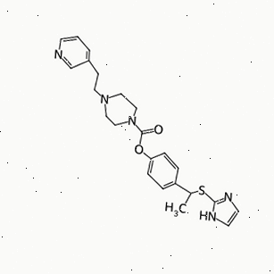 CC(Sc1ncc[nH]1)c1ccc(OC(=O)N2CCN(CCc3cccnc3)CC2)cc1